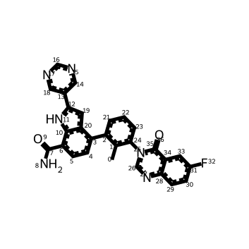 Cc1c(-c2ccc(C(N)=O)c3[nH]c(-c4cncnc4)cc23)cccc1-n1cnc2ccc(F)cc2c1=O